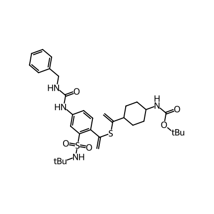 C=C(SC(=C)C1CCC(NC(=O)OC(C)(C)C)CC1)c1ccc(NC(=O)NCc2ccccc2)cc1S(=O)(=O)NC(C)(C)C